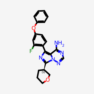 Nc1ncnn2c([C@@H]3CCCOC3)nc(-c3ccc(Oc4ccccc4)cc3F)c12